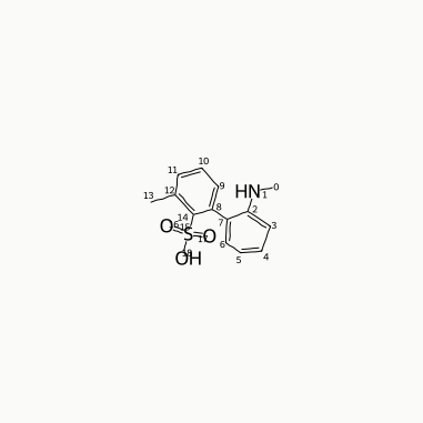 CNc1ccccc1-c1cccc(C)c1S(=O)(=O)O